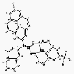 Cc1cc2ccc3cc(N(c4ccc5ccccc5c4)c4cc5ccc6cc([Si](C)(C)C)cc7ccc(c4)c5c67)cc4ccc(c1)c2c34